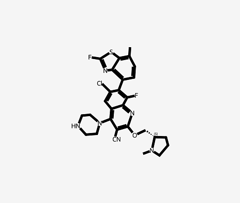 Cc1ccc(-c2c(Cl)cc3c(N4CCNCC4)c(C#N)c(OC[C@@H]4CCCN4C)nc3c2F)c2nc(F)sc12